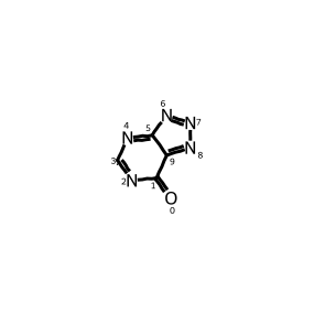 O=C1N=[C]N=C2N=NN=C12